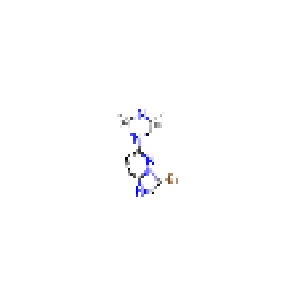 C[C@@H]1CN(c2ccc3ncc(Br)n3n2)C[C@H](C)N1C